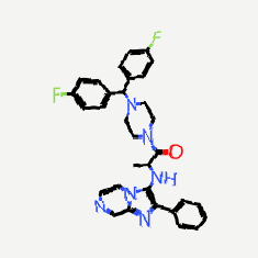 CC(Nc1c(-c2ccccc2)nc2cnccn12)C(=O)N1CCN(C(c2ccc(F)cc2)c2ccc(F)cc2)CC1